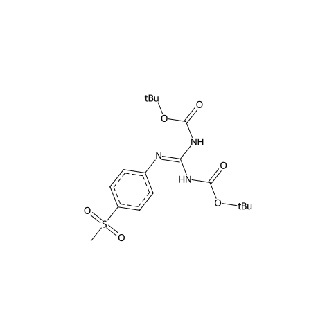 CC(C)(C)OC(=O)NC(=Nc1ccc(S(C)(=O)=O)cc1)NC(=O)OC(C)(C)C